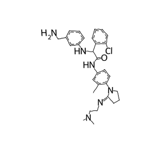 Cc1cc(NC(=O)C(Nc2cccc(CN)c2)c2ccccc2Cl)ccc1N1CCCC1=NCCN(C)C